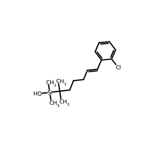 CC(C)(CCC/C=C/c1ccccc1Cl)[Si](C)(C)O